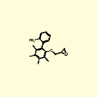 Cc1c(C)c(C)c(-c2ccccc2O)c(OCC2CO2)c1C